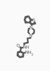 Nc1ccccc1C(=O)NCCCCN1CCN(c2csc3ccccc23)CC1